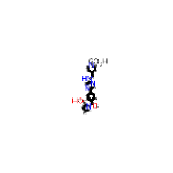 O=C(O)N1CCC(CNc2cnc(-c3ccc(C(=O)N4CCC[C@@H]4CO)cc3)cn2)CC1